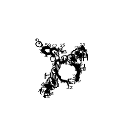 COc1ccc2c(O[C@@H]3C[C@H]4C(=O)N[C@]5(C(=O)NS(=O)(=O)C6(C)CC6)C[C@H]5C=CCC[C@@H](C)C[C@@H](C)[C@H](NC(=O)OC(C)(C)C(F)(F)F)C(=O)N4C3)nc(N(C)C)cc2c1